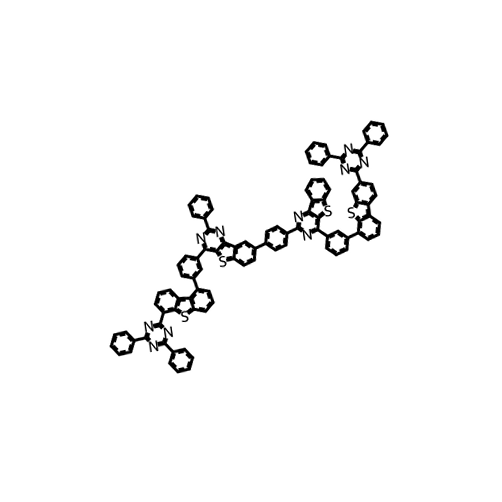 c1ccc(-c2nc(-c3ccccc3)nc(-c3ccc4c(c3)sc3c(-c5cccc(-c6nc(-c7ccc(-c8ccc9sc%10c(-c%11cccc(-c%12cccc%13sc%14c(-c%15nc(-c%16ccccc%16)nc(-c%16ccccc%16)n%15)cccc%14c%12%13)c%11)nc(-c%11ccccc%11)nc%10c9c8)cc7)nc7c6sc6ccccc67)c5)cccc34)n2)cc1